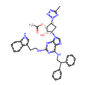 Cc1nnn([C@H]2C[C@@H](n3cnc4c(NCC(c5ccccc5)c5ccccc5)nc(NCCc5c[nH]c6ccccc56)nc43)[C@H](O)[C@@H]2OC(=O)C(F)(F)F)n1